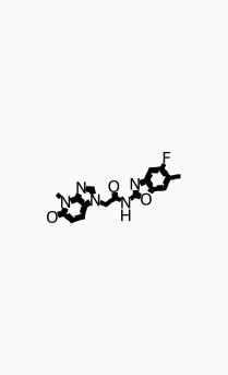 Cc1cc2oc(NC(=O)Cn3cnc4c3ccc(=O)n4C)nc2cc1F